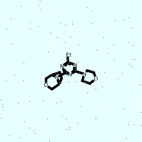 CCc1nc(N2CCOCC2)nc(N2C3CCC2COC3)n1